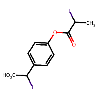 CC(I)C(=O)Oc1ccc(C(I)C(=O)O)cc1